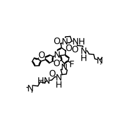 CN(C)CCCCNCC(=O)N[C@@H]1CCN(C(=O)c2cn3c4c(c(N5CC[C@@H](NC(=O)CNCCCCN(C)C)C5)c(F)cc4c2=O)Oc2cc4c(cc2-3)oc2ccccc24)C1